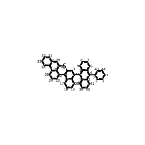 c1ccc(-c2c3ccccc3c(-c3cc4c(c5ccccc35)-c3cccc5c3c(cc3ccccc35)S4)c3ccccc23)cc1